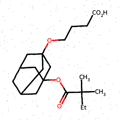 CCC(C)(C)C(=O)OC12CC3CC(CC(OCCCC(=O)O)(C3)C1)C2